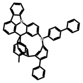 Cc1ccc(C23c4ccc(cc4)-c4cc(ccc4-c4ccccc4)N(c4ccc(-c5ccccc5)cc4)c4ccc(c2c4)-n2c4ccccc4c4cccc3c42)cc1